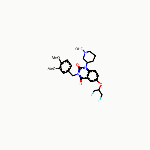 COc1ccc(Cn2c(=O)c3cc(OC(CF)CF)ccc3n(C3CCCN(C=O)C3)c2=O)cc1OC